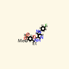 CC[C@H](NC(=O)c1cncc2c1cnn2-c1ccc(F)cc1)c1ccc(S(C)(=O)=O)c(OC)c1